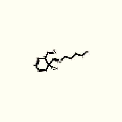 CCCCC/N=C/C1(O)C=CC=CC1C=O